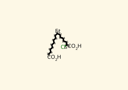 CCC(CCCCCCCCCC(=O)O)CCCCCC(Cl)C(=O)O